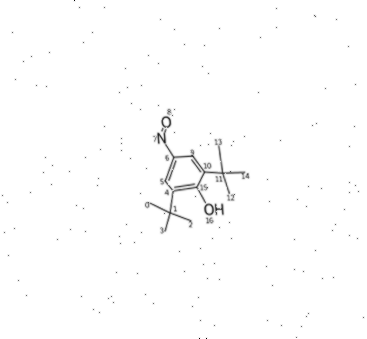 CC(C)(C)c1cc(N=O)cc(C(C)(C)C)c1O